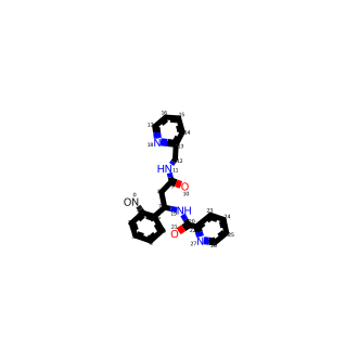 O=Nc1ccccc1C(CC(=O)NCc1ccccn1)NC(=O)c1ccccn1